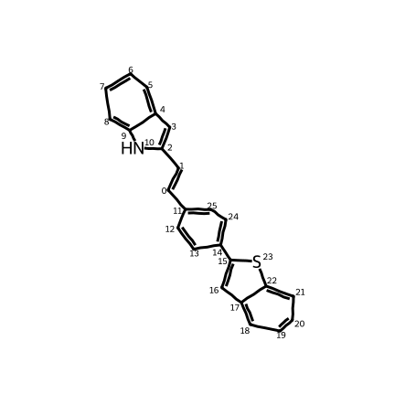 C(=Cc1cc2ccccc2[nH]1)c1ccc(-c2cc3ccccc3s2)cc1